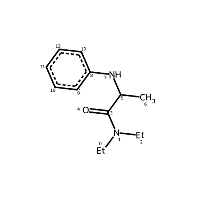 CCN(CC)C(=O)C(C)Nc1[c]cccc1